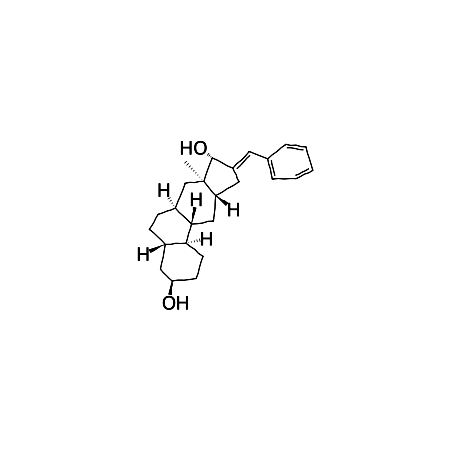 C[C@@]12C[C@@H]3CC[C@H]4C[C@H](O)CC[C@@H]4[C@H]3C[C@H]1C/C(=C\c1ccccc1)[C@H]2O